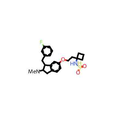 CNC1Cc2ccc(OCCC3(N[SH](=O)=O)CCC3)cc2C1Cc1cccc(F)c1